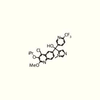 COc1nc2ccc(C(O)(c3ccc(C(F)(F)F)nc3)c3cncn3C)cc2c(Cl)c1OC(C)C